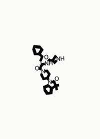 CC1(C)C(=O)N(C2CCN(C(=O)[C@H](CCc3ccccc3)NC(=O)C3CNC3)CC2)c2ccccc21